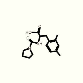 Cc1ccc(CC(NC(=O)N2CCCC2)C(=O)O)c(C)c1